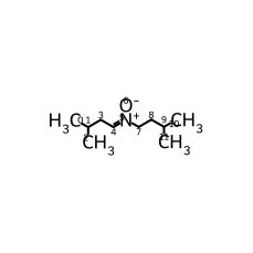 CC(C)CC=[N+]([O-])CCC(C)C